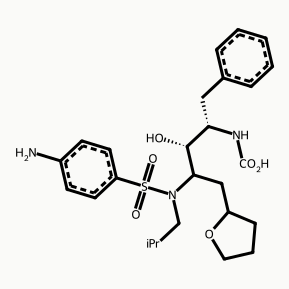 CC(C)CN(C(CC1CCCO1)[C@H](O)[C@H](Cc1ccccc1)NC(=O)O)S(=O)(=O)c1ccc(N)cc1